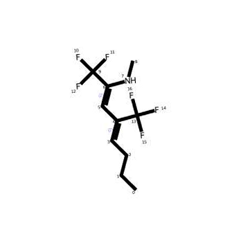 CCC/C=C(/C=C(\NC)C(F)(F)F)C(F)(F)F